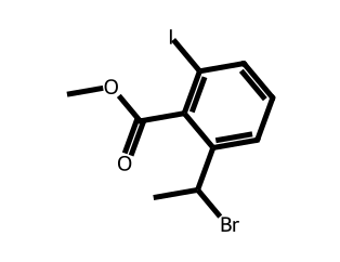 COC(=O)c1c(I)cccc1C(C)Br